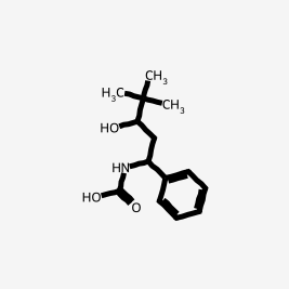 CC(C)(C)C(O)CC(NC(=O)O)c1ccccc1